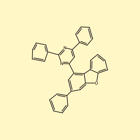 c1ccc(-c2cc(-c3cc(-c4ccccc4)nc(-c4ccccc4)n3)c3c(c2)oc2ccccc23)cc1